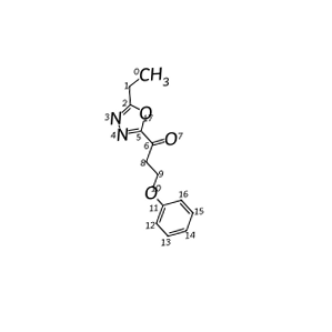 CCc1nnc(C(=O)CCOc2ccccc2)o1